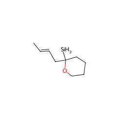 CC=CCC1([SiH3])CCCCO1